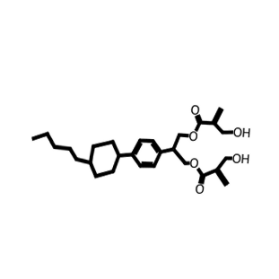 C=C(CO)C(=O)OCC(COC(=O)C(=C)CO)c1ccc(C2CCC(CCCCC)CC2)cc1